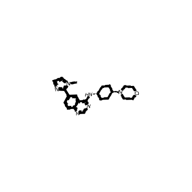 Cn1ccnc1-c1ccc2ncnc(N[C@H]3CC[C@H](N4CCOCC4)CC3)c2c1